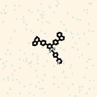 c1cncc(-c2ccc(-c3nc4c(-c5ccc(-c6cccc7ccccc67)cc5)cc(-c5ccc(-c6cccc7ccccc67)cc5)cc4s3)cc2)c1